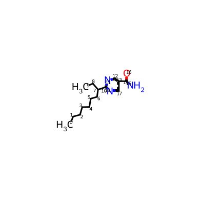 CCCCCCCC(CC)c1ncc(C(N)=O)cn1